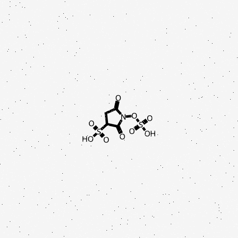 O=C1CC(S(=O)(=O)O)C(=O)N1OS(=O)(=O)O